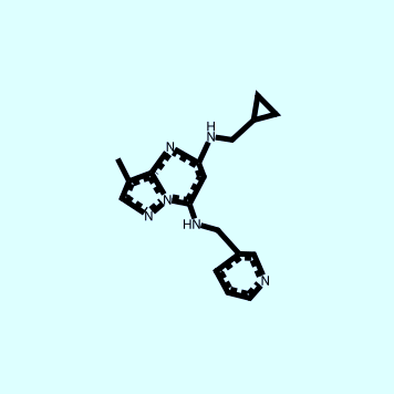 Cc1cnn2c(NCc3cccnc3)cc(NCC3CC3)nc12